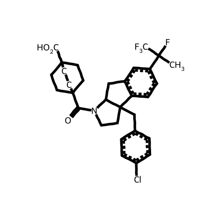 CC(F)(c1ccc2c(c1)CC1N(C(=O)C34CCC(C(=O)O)(CC3)CC4)CCC21Cc1ccc(Cl)cc1)C(F)(F)F